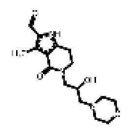 Cc1c(C=O)[nH]c2c1C(=O)N(CC(O)CN1CCOCC1)CC2